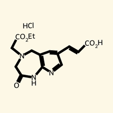 CCOC(=O)CN1CC(=O)Nc2ncc(C=CC(=O)O)cc2C1.Cl